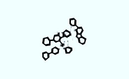 CC1(C)c2ccccc2-c2ccc3c4ccccc4n(-c4ccc5c(c4)oc4cc(-c6ccccc6)cc(-c6nc7ccccc7n6-c6ccc(-c7ccccc7)cc6)c45)c3c21